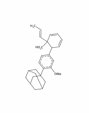 CC=CC1(C(=O)O)C=CC=CC1c1ccc(C23CC4CC(CC(C4)C2)C3)c(OC)c1